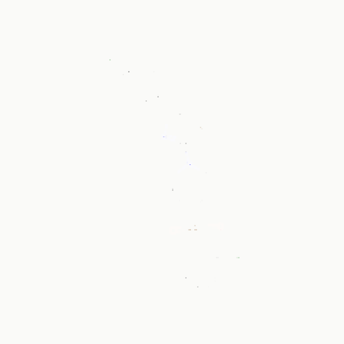 CC1(Cl)C=CC=CC1S(=O)(=O)C1CCN(c2nc(-c3ccc(Cl)c(F)c3)cs2)CC1